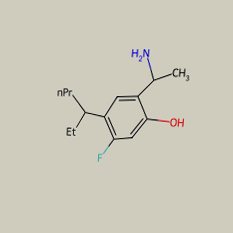 CCCC(CC)c1cc(C(C)N)c(O)cc1F